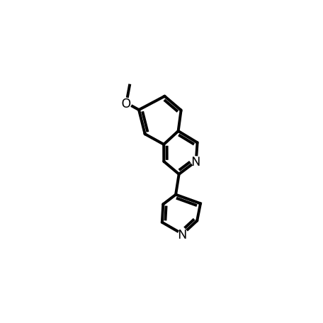 COc1ccc2cnc(-c3ccncc3)cc2c1